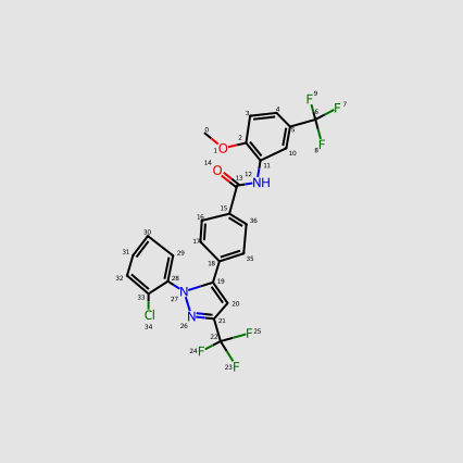 COc1ccc(C(F)(F)F)cc1NC(=O)c1ccc(-c2cc(C(F)(F)F)nn2-c2ccccc2Cl)cc1